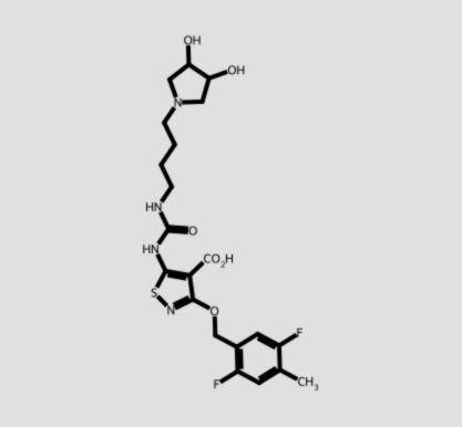 Cc1cc(F)c(COc2nsc(NC(=O)NCCCCN3CC(O)C(O)C3)c2C(=O)O)cc1F